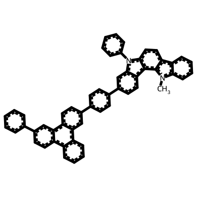 Cn1c2ccccc2c2ccc3c(c4ccc(-c5ccc(-c6ccc7c(c6)c6ccccc6c6ccc(-c8ccccc8)cc67)cc5)cc4n3-c3ccccc3)c21